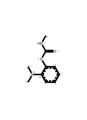 CNC(=O)Oc1ccccc1N(C)C